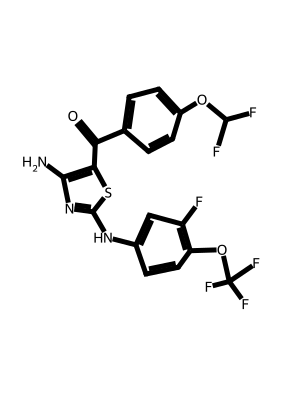 Nc1nc(Nc2ccc(OC(F)(F)F)c(F)c2)sc1C(=O)c1ccc(OC(F)F)cc1